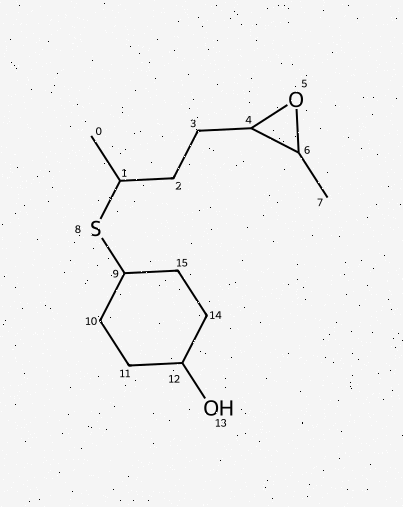 CC(CCC1OC1C)SC1CCC(O)CC1